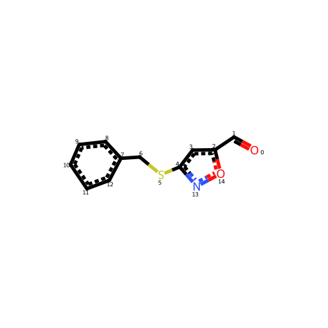 O=Cc1cc(SCc2ccccc2)no1